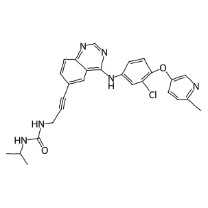 Cc1ccc(Oc2ccc(Nc3ncnc4ccc(C#CCNC(=O)NC(C)C)cc34)cc2Cl)cn1